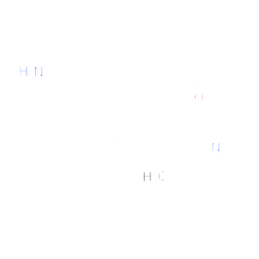 Cc1ncoc1-c1ccc(N)cc1